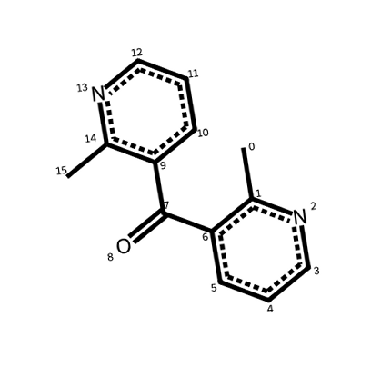 Cc1ncccc1C(=O)c1cccnc1C